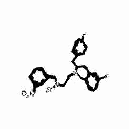 CCN(CCN1Cc2ccc(F)cc2CC1Cc1ccc(F)cc1)Cc1cccc([N+](=O)[O-])c1